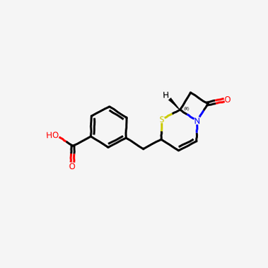 O=C(O)c1cccc(CC2C=CN3C(=O)C[C@H]3S2)c1